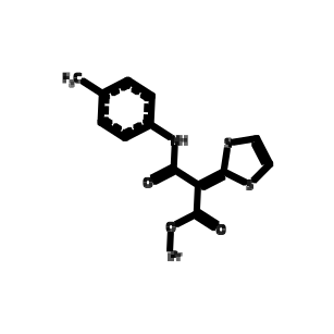 CC(C)OC(=O)C(C(=O)Nc1ccc(C(F)(F)F)cc1)=C1SC=CS1